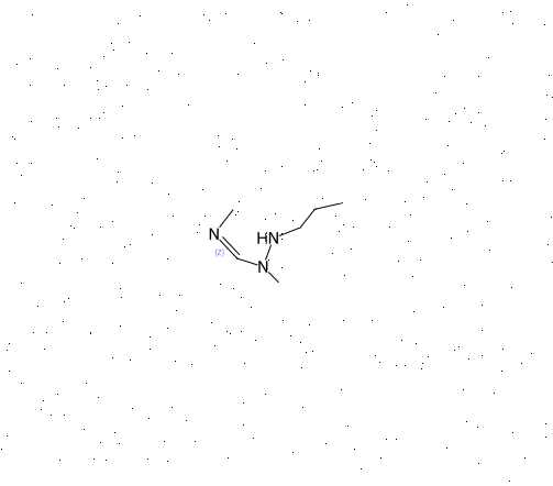 CCCNN(C)/C=N\C